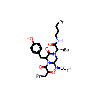 CCCC[C@@H](C(=O)NCCCC(C)C)N1CC2N(C(=O)O)OC(CC(C)C)C(=O)N2C(Cc2ccc(O)cc2)C1=O